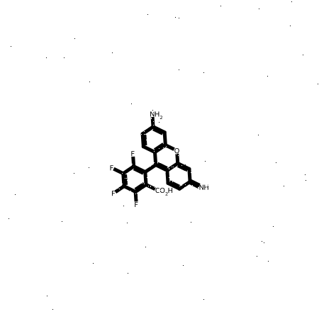 N=c1ccc2c(-c3c(F)c(F)c(F)c(F)c3C(=O)O)c3ccc(N)cc3oc-2c1